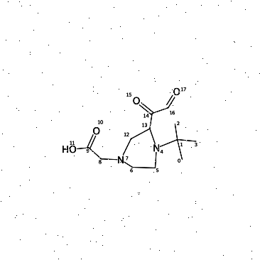 CC(C)(C)N1CCN(CC(=O)O)CC1C(=O)C=O